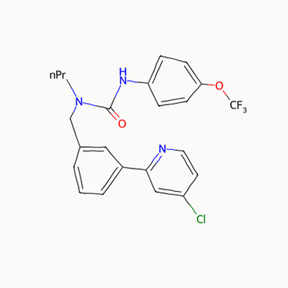 CCCN(Cc1cccc(-c2cc(Cl)ccn2)c1)C(=O)Nc1ccc(OC(F)(F)F)cc1